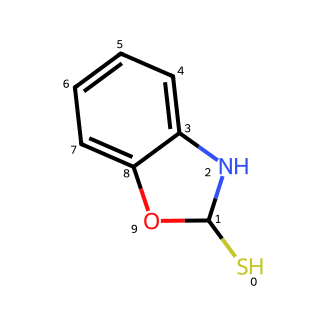 SC1Nc2ccccc2O1